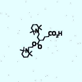 CC1(C)CCCC(C)(C)N1CCOC(=O)C(CCCC(=O)O)CCN1C(C)(C)CCCC1(C)C